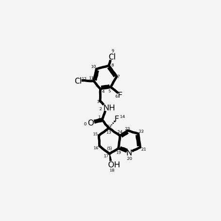 O=C(NCc1c(F)cc(Cl)cc1Cl)[C@]1(F)CC[C@H](O)c2ncccc21